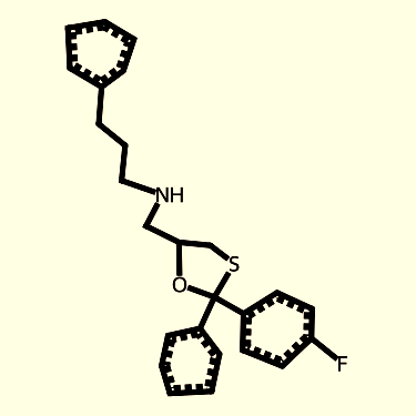 Fc1ccc(C2(c3ccccc3)OC(CNCCCc3ccccc3)CS2)cc1